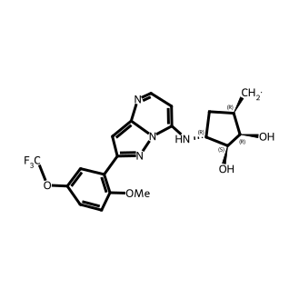 [CH2][C@@H]1C[C@@H](Nc2ccnc3cc(-c4cc(OC(F)(F)F)ccc4OC)nn23)[C@H](O)[C@@H]1O